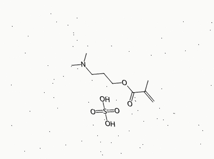 C=C(C)C(=O)OCCCN(C)C.O=S(=O)(O)O